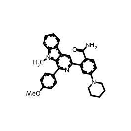 COc1ccc(-c2nc(-c3cc(N4CCCCC4)ccc3C(N)=O)cc3c4ccccc4n(C)c23)cc1